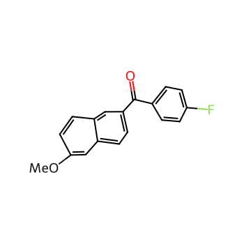 COc1ccc2cc(C(=O)c3ccc(F)cc3)ccc2c1